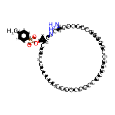 Cc1ccc(S(=O)(=O)OC2CC23CCCCCCCCCCCCCCCCCCCCCCCCCCCCCCCCCCCCCC(N)CNC3)cc1